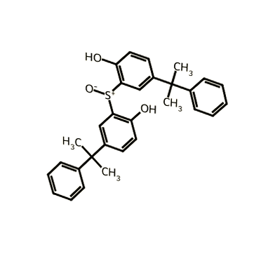 CC(C)(c1ccccc1)c1ccc(O)c([S+]([O-])c2cc(C(C)(C)c3ccccc3)ccc2O)c1